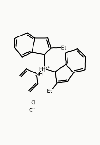 C=C[SiH](C=C)[Hf+2]([CH]1C(CC)=Cc2ccccc21)[CH]1C(CC)=Cc2ccccc21.[Cl-].[Cl-]